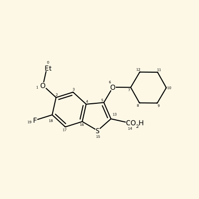 CCOc1cc2c(OC3CCCCC3)c(C(=O)O)sc2cc1F